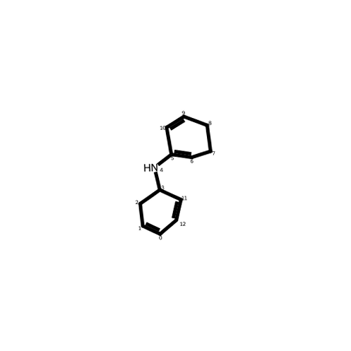 C1=CCC(NC2=CCCC=C2)C=C1